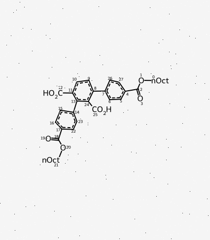 CCCCCCCCOC(=O)c1ccc(-c2ccc(C(=O)O)c(-c3ccc(C(=O)OCCCCCCCC)cc3)c2C(=O)O)cc1